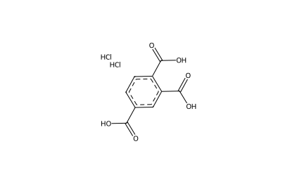 Cl.Cl.O=C(O)c1ccc(C(=O)O)c(C(=O)O)c1